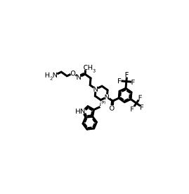 CC(CCN1CCN(C(=O)c2cc(C(F)(F)F)cc(C(F)(F)F)c2)[C@H](Cc2c[nH]c3ccccc23)C1)=NOCCN